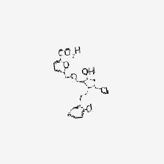 O=C(O)c1ccc(COC[C@H]2C(O)CC(Cl)[C@@H]2CCc2ccccc2Cl)o1